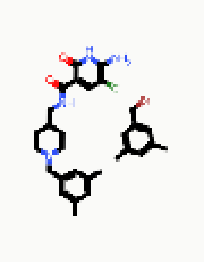 Cc1cc(C)cc(CBr)c1.Cc1cc(C)cc(CN2CCC(CNC(=O)c3cc(Cl)c(N)[nH]c3=O)CC2)c1